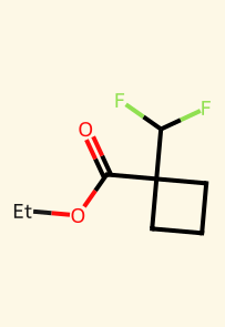 CCOC(=O)C1(C(F)F)CCC1